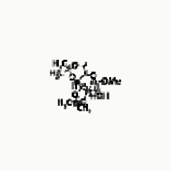 CO[C@@H]1OC2COC(C)(C)O[C@H]2C2OC(C)(C)O[C@@H]2C1O